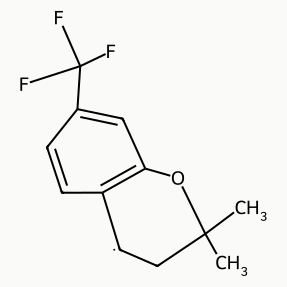 CC1(C)C[CH]c2ccc(C(F)(F)F)cc2O1